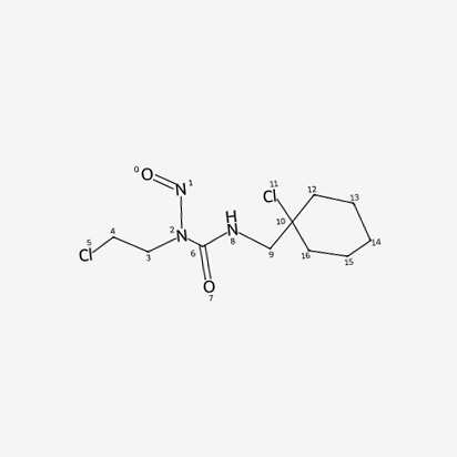 O=NN(CCCl)C(=O)NCC1(Cl)CCCCC1